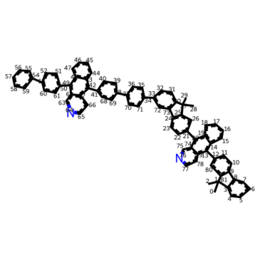 CC1(C)c2ccccc2-c2ccc(-c3c4ccccc4c(-c4ccc5c(c4)C(C)(C)c4ccc(-c6ccc(-c7ccc(-c8c9ccccc9c(-c9ccc(-c%10ccccc%10)cc9)c9cnccc89)cc7)cc6)cc4-5)c4cnccc34)cc21